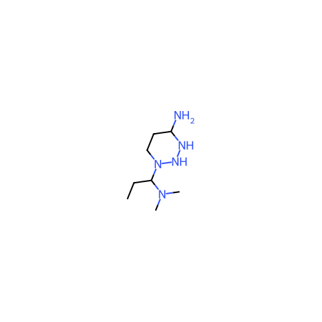 CCC(N(C)C)N1CCC(N)NN1